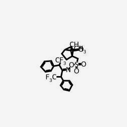 CC1(C)C2CCC1(CS(=O)(=O)ON=C(C(c1ccccc1)C(F)(F)F)C(c1ccccc1)C(F)(F)F)C(=O)C2